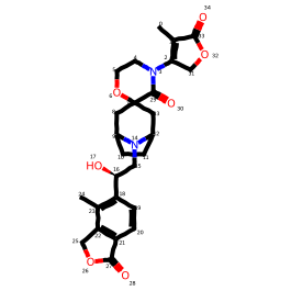 CC1=C(N2CCOC3(CC4CCC(C3)N4C[C@H](O)c3ccc4c(c3C)COC4=O)C2=O)COC1=O